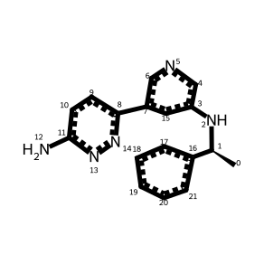 C[C@H](Nc1cncc(-c2ccc(N)nn2)c1)c1ccccc1